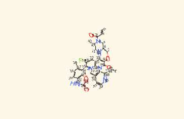 C=CC(=O)N1CC2COc3c(c4cc(F)c(-c5c(C)ccc6[nH]c(=O)oc56)nc4n(-c4c(C)ccnc4C(C)C)c3=O)N2CC1C